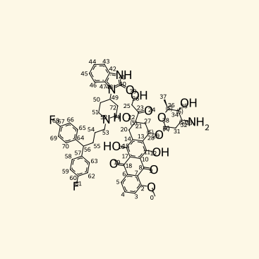 COc1cccc2c1C(=O)c1c(O)c3c(c(O)c1C2=O)C[C@@](O)(C(=O)CO)C[C@@H]3O[C@H]1C[C@H](N)[C@H](O)[C@H](C)O1.O=c1[nH]c2ccccc2n1C1CCN(CCCC(c2ccc(F)cc2)c2ccc(F)cc2)CC1